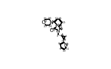 O=c1n(C[C@@H]2C[C@H]2c2ccccn2)nc2cccc(N3CCOCC3)n12